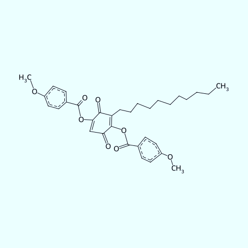 CCCCCCCCCCCC1=C(OC(=O)c2ccc(OC)cc2)C(=O)C=C(OC(=O)c2ccc(OC)cc2)C1=O